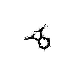 O=C1OC(=[Se])c2ccccc21